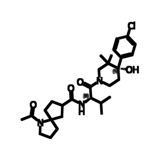 CC(=O)N1CCCC12CCC(C(=O)N[C@@H](C(=O)N1CC[C@](O)(c3ccc(Cl)cc3)C(C)(C)C1)C(C)C)C2